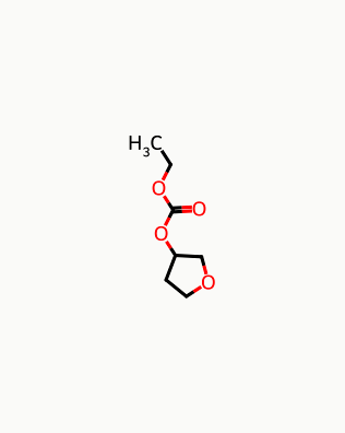 CCOC(=O)OC1CCOC1